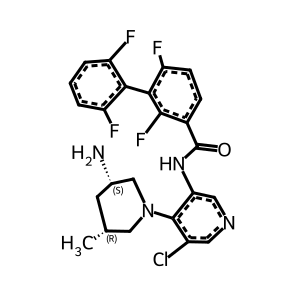 C[C@@H]1C[C@H](N)CN(c2c(Cl)cncc2NC(=O)c2ccc(F)c(-c3c(F)cccc3F)c2F)C1